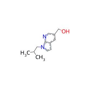 CC(C)Cn1ccc2cc(CO)cnc21